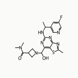 Cc1nc2nc(NC(C)c3cncc(F)c3)nc(C(O)N3CC(C(=O)N(C)C)C3)c2s1